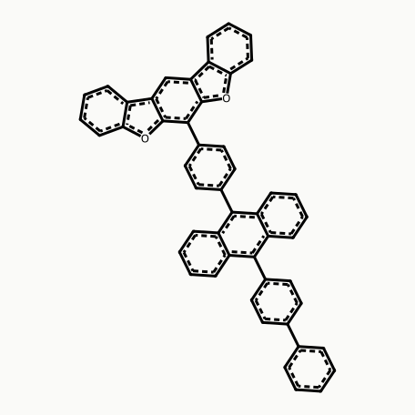 c1ccc(-c2ccc(-c3c4ccccc4c(-c4ccc(-c5c6oc7ccccc7c6cc6c5oc5ccccc56)cc4)c4ccccc34)cc2)cc1